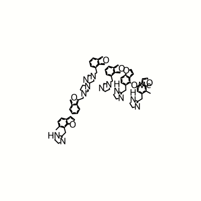 C1=NCCN1Cc1cccc2cocc12.C1=NCCN1Cc1cccc2cocc12.C1=NCCN1Cc1occ2ccccc12.COc1c(CC2=NCCN2)ccc2occc12.Cc1c(CC2=NCCN2)ccc2ccoc12.Cc1ccc2ccoc2c1CC1=NCCN1